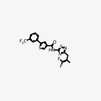 CC(Cc1nsc(NC(=O)c2csc(-c3cccc(C(F)(F)F)c3)c2)n1)=C(F)F